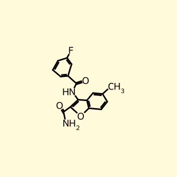 Cc1ccc2oc(C(N)=O)c(NC(=O)c3cccc(F)c3)c2c1